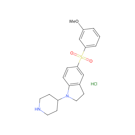 COc1cccc(S(=O)(=O)c2ccc3c(c2)CCN3C2CCNCC2)c1.Cl